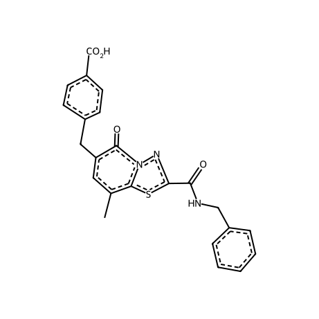 Cc1cc(Cc2ccc(C(=O)O)cc2)c(=O)n2nc(C(=O)NCc3ccccc3)sc12